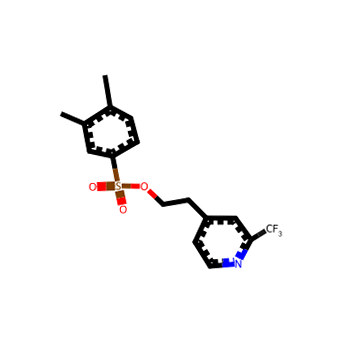 Cc1ccc(S(=O)(=O)OCCc2ccnc(C(F)(F)F)c2)cc1C